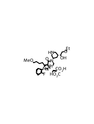 CCOCC(O)[C@H]1CNC[C@@H](N(CC(C)C)C(=O)c2nnn(-c3ccccc3F)c2CCCCOC)C1.O=C(O)/C=C/C(=O)O